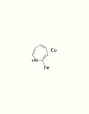 [Co].[Fe][C]1=CC=CC=CN1